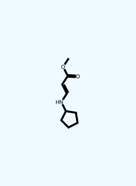 COC(=O)C=CNC1CCCC1